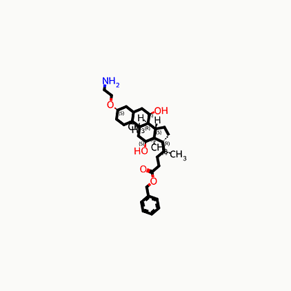 C[C@H](CCC(=O)OCc1ccccc1)[C@H]1CC[C@H]2[C@@H]3[C@H](O)CC4C[C@@H](OCCN)CC[C@]4(C)[C@H]3C[C@H](O)[C@]12C